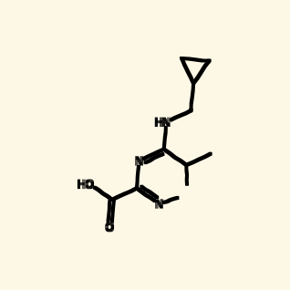 C/N=C(\N=C(\NCC1CC1)C(C)C)C(=O)O